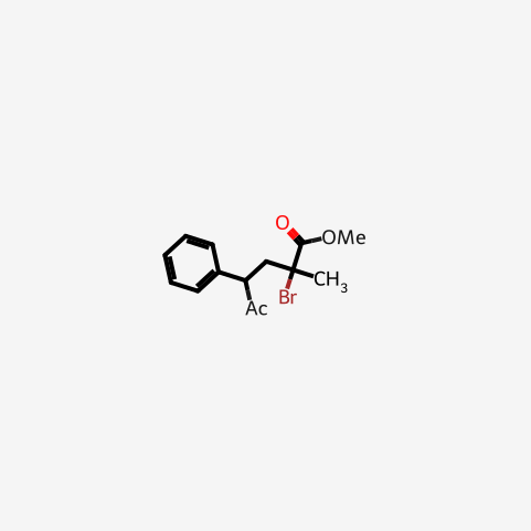 COC(=O)C(C)(Br)CC(C(C)=O)c1ccccc1